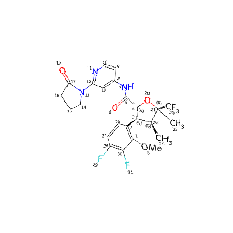 COc1c([C@H]2[C@H](C(=O)Nc3ccnc(N4CCCC4=O)c3)O[C@@](C)(C(F)(F)F)[C@H]2C)ccc(F)c1F